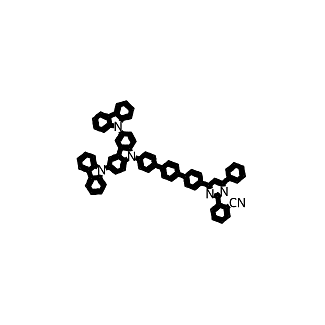 N#Cc1ccccc1-c1nc(-c2ccccc2)cc(-c2ccc(-c3ccc(-c4ccc(-n5c6ccc(-n7c8ccccc8c8ccccc87)cc6c6cc(-n7c8ccccc8c8ccccc87)ccc65)cc4)cc3)cc2)n1